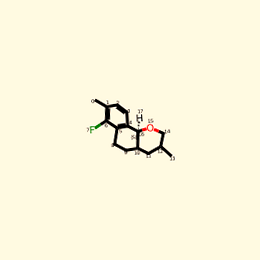 Cc1ccc2c(c1F)CCC1CC(C)CO[C@H]21